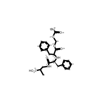 CC(CNC(=O)[C@H](Cc1ccccc1)NC(Cc1ccccc1)C(=O)OCOC(=O)C(C)(C)C)C(=O)O